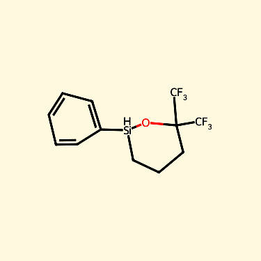 FC(F)(F)C1(C(F)(F)F)CCC[SiH](c2ccccc2)O1